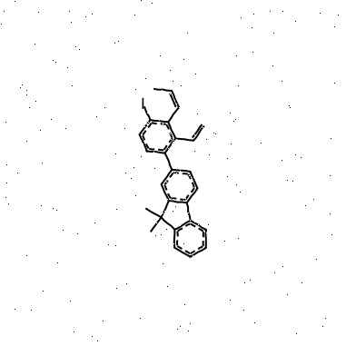 C=Cc1c(-c2ccc3c(c2)C(C)(C)c2ccccc2-3)ccc(I)c1/C=C\C